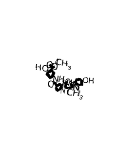 CCOC(=O)c1cc(NC(=O)c2ccc3nc(C(C)c4nc5cc(O)ccc5[nH]4)n(C)c3c2)ccc1O